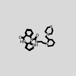 O=C1Nc2cccnc2N(C(=O)NCCN2CCCCC2CN2CCSCC2)c2ccccc21